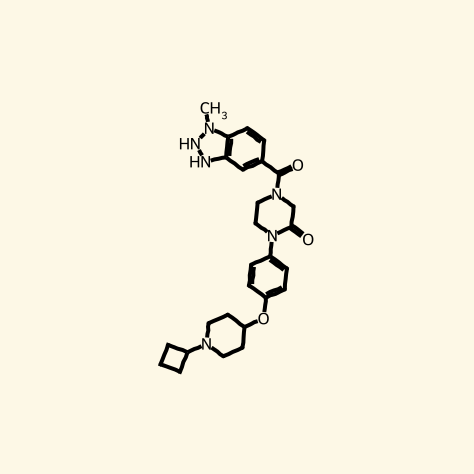 CN1NNc2cc(C(=O)N3CCN(c4ccc(OC5CCN(C6CCC6)CC5)cc4)C(=O)C3)ccc21